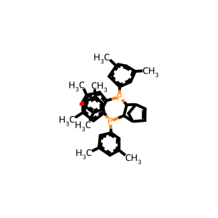 Cc1cc(C)cc(P(c2cc(C)cc(C)c2)C2C3C=CC(C3)C2P(c2cc(C)cc(C)c2)c2cc(C)cc(C)c2)c1